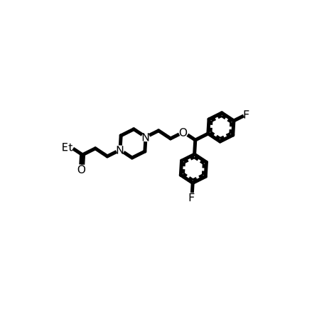 CCC(=O)CCN1CCN(CCOC(c2ccc(F)cc2)c2ccc(F)cc2)CC1